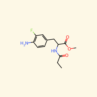 CCC(=O)NC(Cc1ccc(N)c(F)c1)C(=O)OC